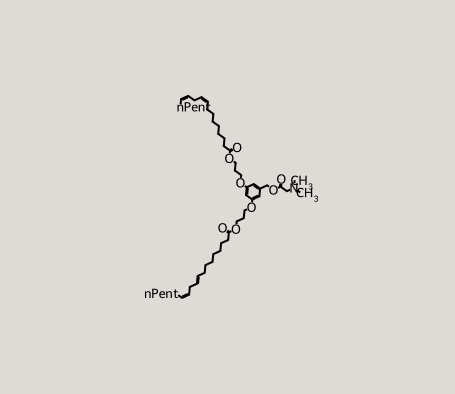 CCCCC/C=C\C/C=C\CCCCCCCC(=O)OCCCOc1cc(COC(=O)CN(C)C)cc(OCCCOC(=O)CCCCCCC/C=C/C/C=C\CCCCC)c1